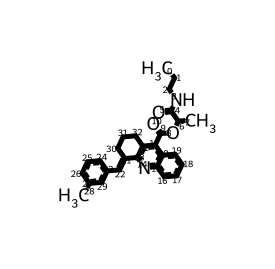 CCCNC(=O)C(C)OC(=O)c1c2c(nc3ccccc13)/C(=C/c1cccc(C)c1)CCC2